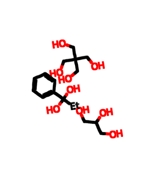 CCC(O)(O)c1ccccc1.OCC(CO)(CO)CO.OCC(O)CO